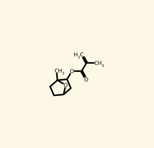 C=C(C)C(=O)OC1CC2CCC1(C)O2